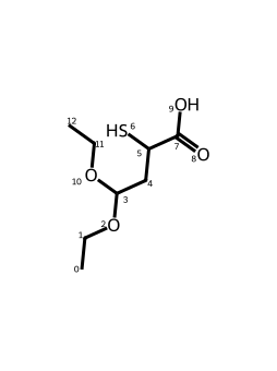 CCOC(CC(S)C(=O)O)OCC